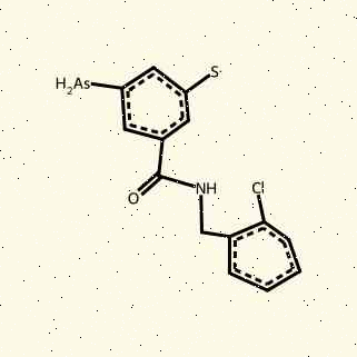 O=C(NCc1ccccc1Cl)c1cc([S])cc([AsH2])c1